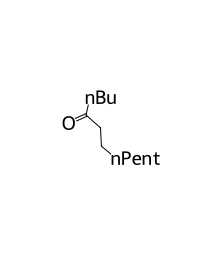 [CH2]CCCCCCC(=O)CCCC